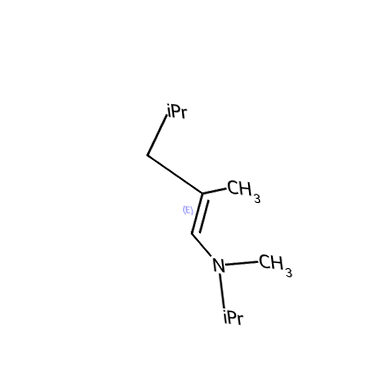 C/C(=C\N(C)C(C)C)CC(C)C